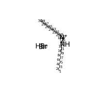 Br.CCCCCCCCCCCCNCC[N+](C)(C)CCCCCCCCCCCC.[Br-]